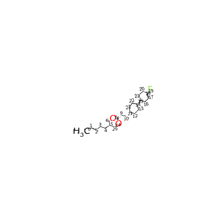 C/C=C/CC[C@H]1CO[C@H](CC[C@H]2CC[C@H](C3CC=C(F)CC3)CC2)OC1